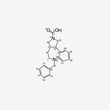 O=C(O)N1CC2CCN(Cc3ccccc3)c3ccccc3C2C1